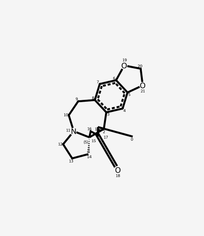 CC1=C2c3cc4c(cc3CCN3CCC[C@]23CC1=O)OCO4